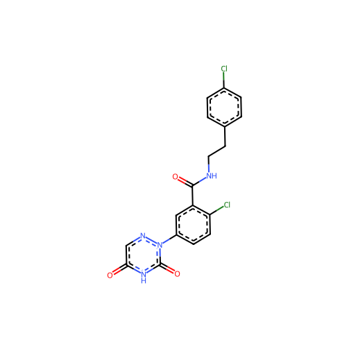 O=C(NCCc1ccc(Cl)cc1)c1cc(-n2ncc(=O)[nH]c2=O)ccc1Cl